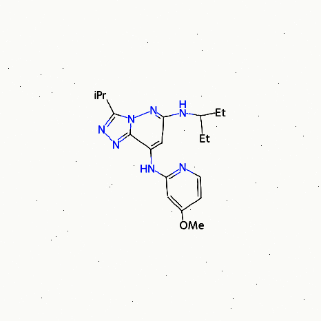 CCC(CC)Nc1cc(Nc2cc(OC)ccn2)c2nnc(C(C)C)n2n1